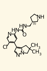 CC1(C)Cc2c(-c3cc(NC(=O)NC[C@H]4CCNC4)ncc3Cl)cnn2C1